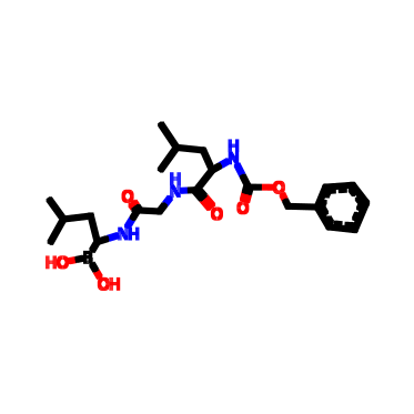 CC(C)CC(NC(=O)CNC(=O)C(CC(C)C)NC(=O)OCc1ccccc1)B(O)O